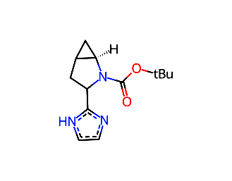 CC(C)(C)OC(=O)N1C(c2ncc[nH]2)CC2C[C@H]21